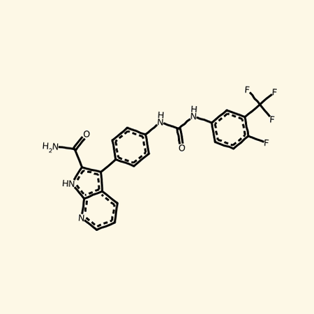 NC(=O)c1[nH]c2ncccc2c1-c1ccc(NC(=O)Nc2ccc(F)c(C(F)(F)F)c2)cc1